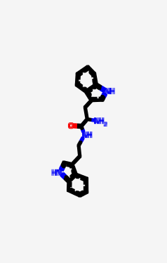 NC(Cc1c[nH]c2ccccc12)C(=O)NCCc1c[nH]c2ccccc12